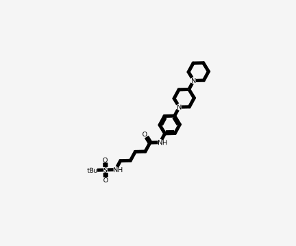 CC(C)(C)S(=O)(=O)NCCCCC(=O)Nc1ccc(N2CCC(N3CCCCC3)CC2)cc1